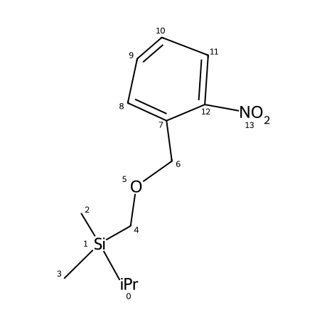 CC(C)[Si](C)(C)COCc1ccccc1[N+](=O)[O-]